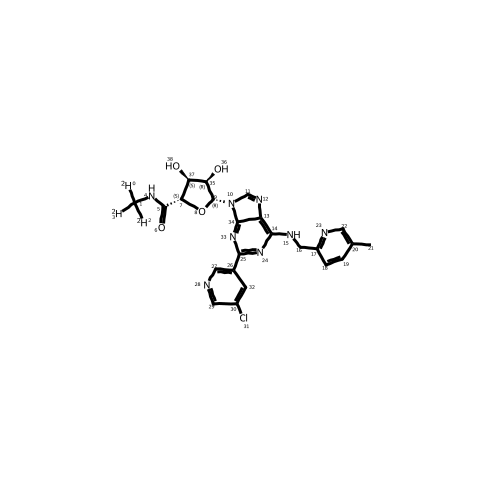 [2H]C([2H])([2H])NC(=O)[C@H]1O[C@@H](n2cnc3c(NCc4ccc(C)cn4)nc(-c4cncc(Cl)c4)nc32)[C@H](O)[C@@H]1O